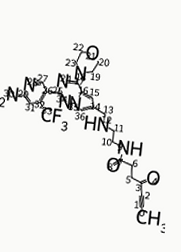 CC#CC(=O)CCC(=O)NCCNCc1cc2c(N3CCOCC3)nc(-c3cnc(N)cc3C(F)(F)F)nn2c1